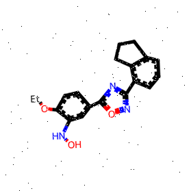 CCOc1ccc(-c2nc(-c3cccc4c3CCC4)no2)cc1NO